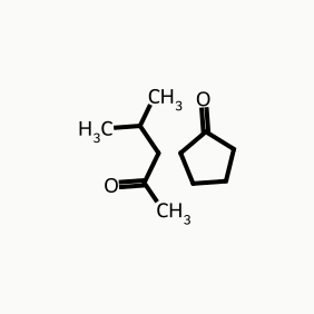 CC(=O)CC(C)C.O=C1CCCC1